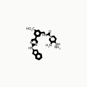 NNC1=C(N)CN(C(=O)NCc2cc(C(=O)O)cc(-c3cnc(NC4Cc5ccccc5C4)nc3)c2)CC1